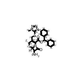 C[C@H]1S[C@@H]2C(N)C(=O)N2C(C(=O)OC(c2ccccc2)c2ccccc2)=C1CSc1nnnn1C